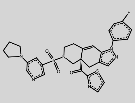 O=C(c1nccs1)[C@]12Cc3cnn(-c4ccc(F)cc4)c3C=C1CCN(S(=O)(=O)c1cncc(N3CCCC3)c1)C2